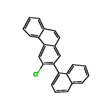 Clc1cc2c(ccc3ccccc32)cc1-c1cccc2ccccc12